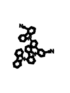 N#Cc1ccc(-n2c3ccccc3c3c(-n4c5ccccc5c5ccccc54)cccc32)c(-c2ccc(-n3c4ccccc4c4c(C#N)cccc43)cc2)c1